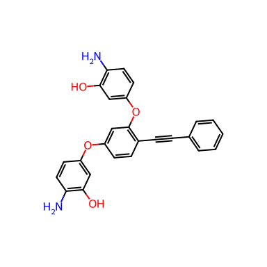 Nc1ccc(Oc2ccc(C#Cc3ccccc3)c(Oc3ccc(N)c(O)c3)c2)cc1O